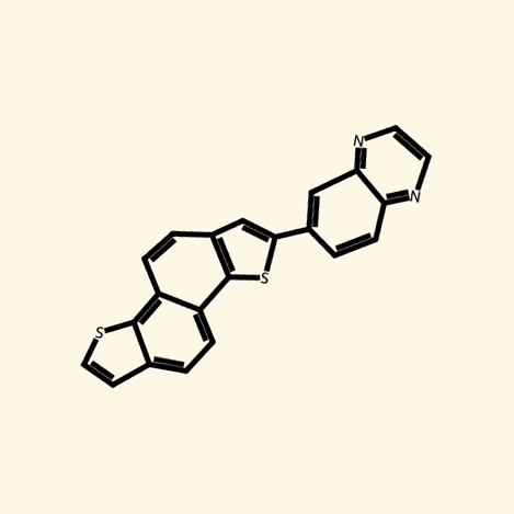 c1cnc2cc(-c3cc4ccc5c(ccc6ccsc65)c4s3)ccc2n1